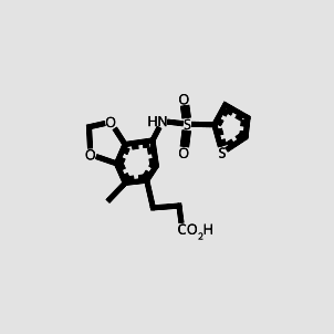 Cc1c(CCC(=O)O)cc(NS(=O)(=O)c2cccs2)c2c1OCO2